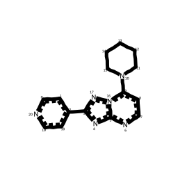 c1cc(-c2nc3nccc(N4CCCCC4)n3n2)ccn1